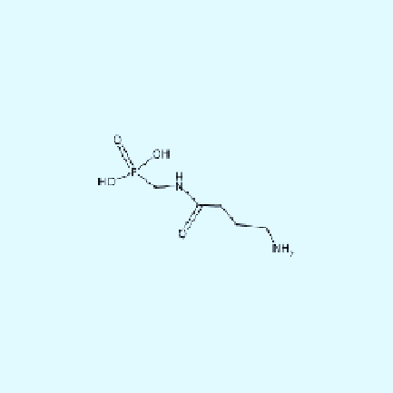 NCCCC(=O)NCP(=O)(O)O